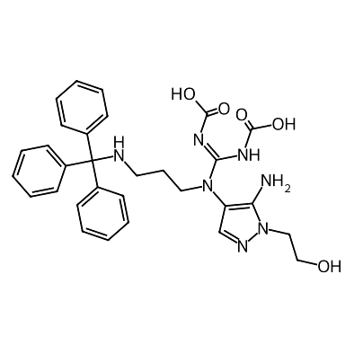 Nc1c(N(CCCNC(c2ccccc2)(c2ccccc2)c2ccccc2)C(=NC(=O)O)NC(=O)O)cnn1CCO